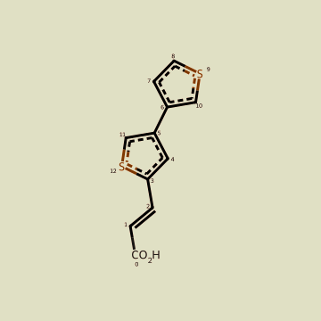 O=C(O)/C=C/c1cc(-c2ccsc2)cs1